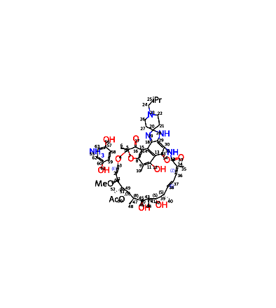 CO[C@H]1/C=C/O[C@@]2(C)Oc3c(C)c(O)c4c(c3C2=O)C2=NC3(CCN(CC(C)C)CC3)NC2=C(NC(=O)/C(C)=C\C=C\[C@H](C)[C@H](O)[C@@H](C)[C@@H](O)[C@@H](C)[C@H](OC(C)=O)[C@@H]1C)C4=O.N.Oc1ccc(O)cc1